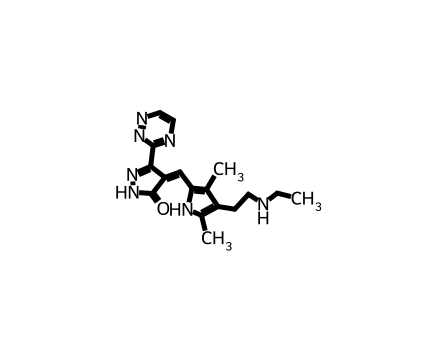 CCNCCc1c(C)[nH]c(C=C2C(=O)NN=C2c2nccnn2)c1C